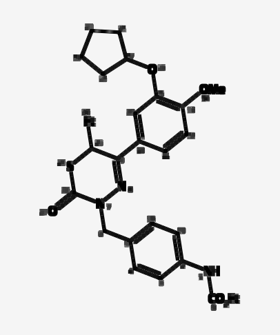 CCOC(=O)Nc1ccc(CN2N=C(c3ccc(OC)c(OC4CCCC4)c3)C(CC)SC2=O)cc1